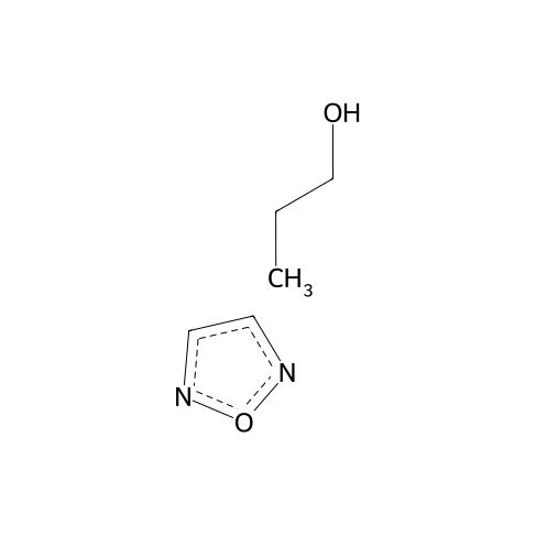 CCCO.c1cnon1